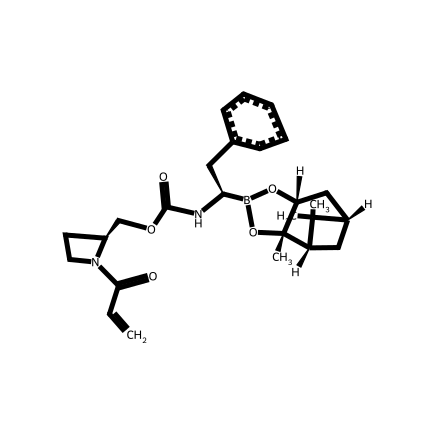 C=CC(=O)N1CC[C@H]1COC(=O)N[C@@H](Cc1ccccc1)B1O[C@@H]2C[C@@H]3C[C@@H](C3(C)C)[C@]2(C)O1